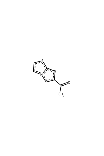 CC(=O)c1cn2ccsc2n1